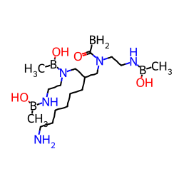 BC(=O)N(CCNB(C)O)CC(CCCCCCN)CN(CCNB(C)O)B(C)O